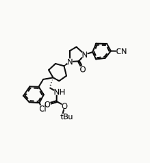 CC(C)(C)OC(=O)NC[C@]1(Cc2cccc(Cl)c2)CC[C@@H](N2CCN(c3ccc(C#N)cc3)C2=O)CC1